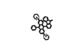 C=C1c2ccccc2-c2c1cccc2-c1c2ccc(N3CCCCC3)cc2c(-c2ccccc2)c2ccc(N3CCCCC3)cc12